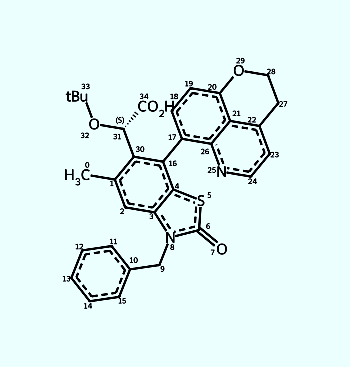 Cc1cc2c(sc(=O)n2Cc2ccccc2)c(-c2ccc3c4c(ccnc24)CCO3)c1[C@H](OC(C)(C)C)C(=O)O